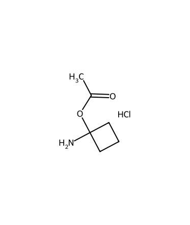 CC(=O)OC1(N)CCC1.Cl